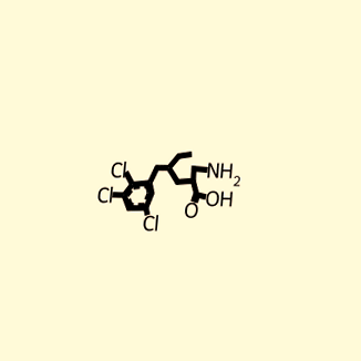 CCC(Cc1cc(Cl)cc(Cl)c1Cl)CC(CN)C(=O)O